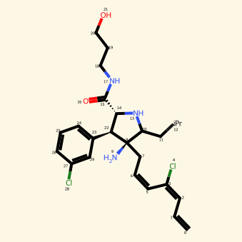 C=C/C=C(Cl)\C=C/C[C@@]1(N)C(CC(C)C)N[C@@H](C(=O)NCCCO)[C@@H]1c1cccc(Cl)c1